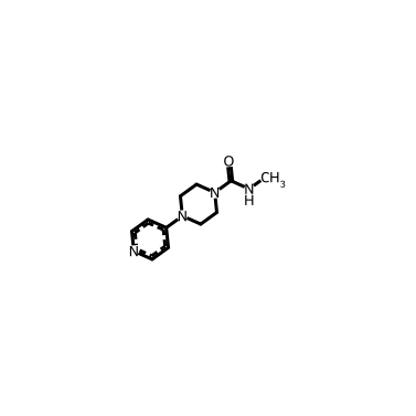 CNC(=O)N1CCN(c2ccncc2)CC1